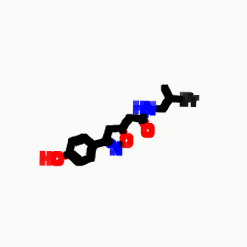 CC(C)C(C)CNC(=O)CC1CC(c2ccc(O)cc2)=NO1